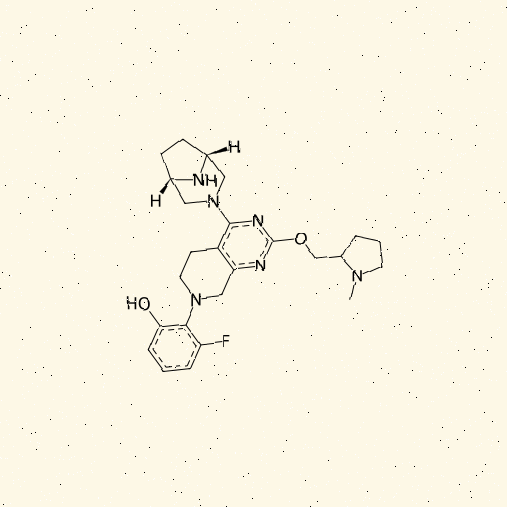 CN1CCCC1COc1nc2c(c(N3C[C@H]4CC[C@@H](C3)N4)n1)CCN(c1c(O)cccc1F)C2